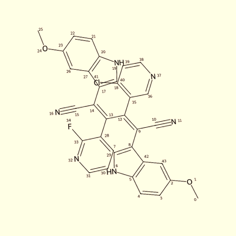 COc1ccc2[nH]cc(/C(C#N)=C(\C(=C(\C#N)c3c[nH]c4ccc(OC)cc34)c3cccnc3F)c3cnccc3Cl)c2c1